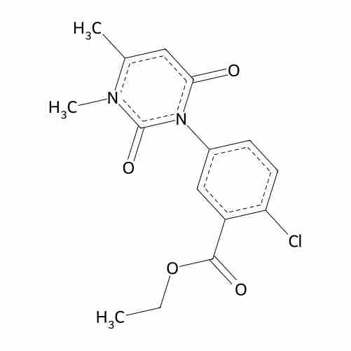 CCOC(=O)c1cc(-n2c(=O)cc(C)n(C)c2=O)ccc1Cl